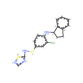 Clc1cc(SNc2ncns2)ccc1NC1CCc2ccccc21